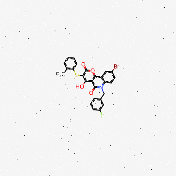 O=c1oc2c(c(O)c1Sc1ccccc1C(F)(F)F)c(=O)n(Cc1cccc(F)c1)c1ccc(Br)cc21